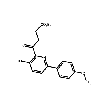 CCOC(=O)CCC(=O)c1nc(-c2ccc(OC(F)(F)F)cc2)ccc1O